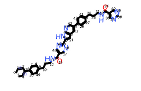 C/C=C\C(=C/C)c1ccc(CCCNC(=O)c2cnc(-c3cc4cc(-c5ccc(CCCNC(=O)c6cncnc6)cc5)cnc4[nH]3)nc2)cc1